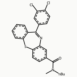 CCCCN(C)C(=O)c1ccc2c(c1)N=C(c1ccc(Cl)c(Cl)c1)c1ccccc1S2